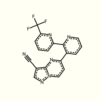 N#Cc1cnn2ccc(-c3cccnc3-c3cccc(C(F)(F)F)n3)nc12